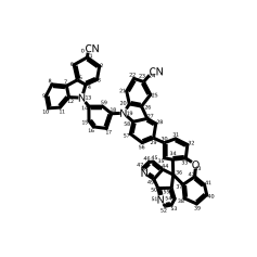 N#Cc1ccc2c(c1)c1ccccc1n2-c1cccc(-n2c3ccc(C#N)cc3c3cc(-c4ccc5c(c4)C4(c6ccccc6O5)c5cccnc5-c5ncccc54)ccc32)c1